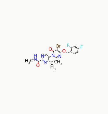 CNC(=O)c1ncc(-n2c(C)nc(OCc3ccc(F)cc3F)c(Br)c2=O)c(C)n1